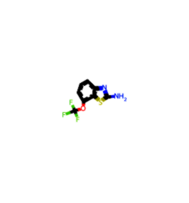 Nc1nc2cccc(OC(F)(F)F)c2s1